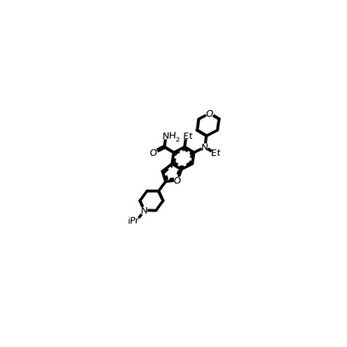 CCc1c(N(CC)C2CCOCC2)cc2oc(C3CCN(C(C)C)CC3)cc2c1C(N)=O